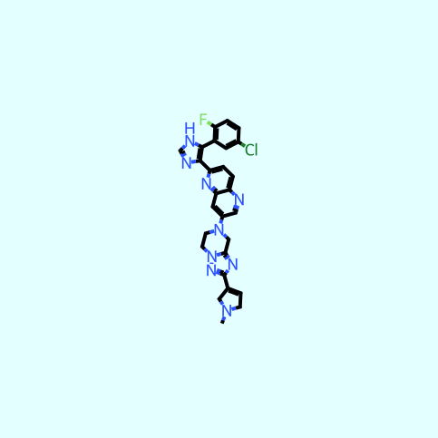 CN1CC=C(c2nc3n(n2)CCN(c2cnc4ccc(-c5nc[nH]c5-c5cc(Cl)ccc5F)nc4c2)C3)C1